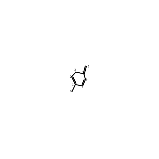 [CH2]C1=CCC(=C)C=C1